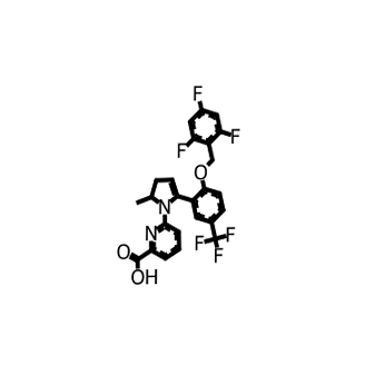 CC1CC=C(c2cc(C(F)(F)F)ccc2OCc2c(F)cc(F)cc2F)N1c1cccc(C(=O)O)n1